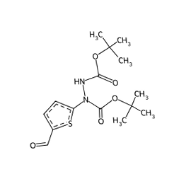 CC(C)(C)OC(=O)NN(C(=O)OC(C)(C)C)c1ccc(C=O)s1